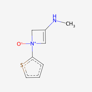 CNC1=C[N+]([O-])(c2cccs2)C1